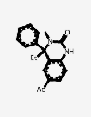 CCC1(c2ccccc2)c2cc(C(C)=O)ccc2NC(=O)N1C